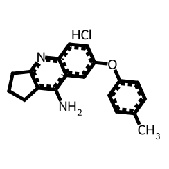 Cc1ccc(Oc2ccc3nc4c(c(N)c3c2)CCC4)cc1.Cl